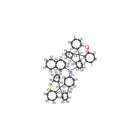 c1ccc2c(c1)Oc1ccccc1C21c2ccccc2-c2c(N(c3ccc4c(c3)C3(c5ccccc5Sc5ccccc53)c3ccccc3-4)c3ccc4ccccc4c3)cccc21